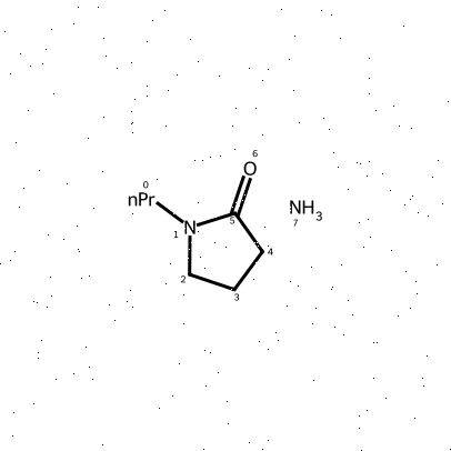 CCCN1CCCC1=O.N